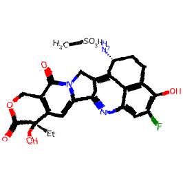 CC[C@@]1(O)C(=O)OCc2c1cc1n(c2=O)Cc2c-1nc1cc(F)c(O)c3c1c2[C@H](N)CC3.CS(=O)(=O)O